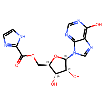 O=C(OC[C@H]1O[C@@H](n2cnc3c(O)ncnc32)[C@H](O)[C@@H]1O)c1ncc[nH]1